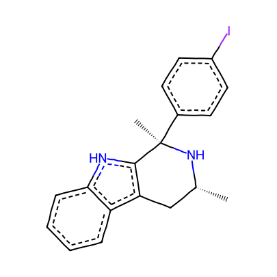 C[C@@H]1Cc2c([nH]c3ccccc23)[C@@](C)(c2ccc(I)cc2)N1